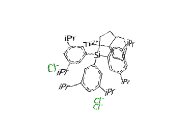 CC(C)c1cc(C(C)C)cc([Si](c2cc(C(C)C)cc(C(C)C)c2)(c2cc(C(C)C)cc(C(C)C)c2)[C]2([Ti+3])CCC3CC=CC=C32)c1.[Cl-].[Cl-].[Cl-]